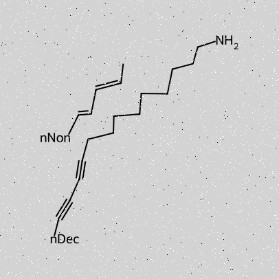 CC=CC=CCCCCCCCCC.CCCCCCCCCCC#CC#CCCCCCCCCCN